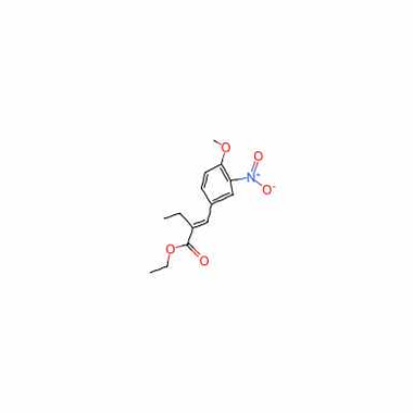 CCOC(=O)/C(=C/c1ccc(OC)c([N+](=O)[O-])c1)CC